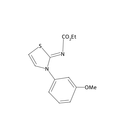 CCOC(=O)/N=c1\sccn1-c1cccc(OC)c1